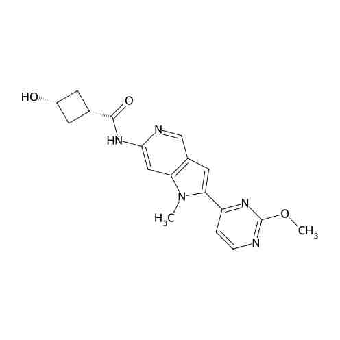 COc1nccc(-c2cc3cnc(NC(=O)[C@H]4C[C@@H](O)C4)cc3n2C)n1